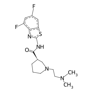 CN(C)CCN1CCC[C@@H](C(=O)Nc2nc3c(F)cc(F)cc3s2)C1